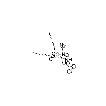 CCCCCCCCCCCC(=O)OC[C@H](CSC[C@H](NC(=O)OCC1c2ccccc2-c2ccccc21)C(=O)NCCc1cccnc1)OC(=O)CCCCCCCCCCC